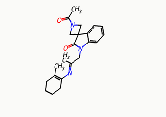 CC(=O)N1CC2(C1)C(=O)N(C/C(C)=N/C1=C(C)CCCC1)c1ccccc12